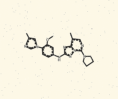 COc1cc(Nc2nc3c(C)cnc(N4CCCC4)n3n2)ccc1-n1cnc(C)c1